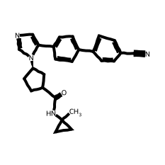 CC1(NC(=O)C2CC[C@@H](n3cncc3-c3ccc(-c4ccc(C#N)cc4)cc3)C2)CC1